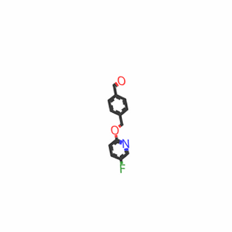 O=Cc1ccc(COc2ccc(F)cn2)cc1